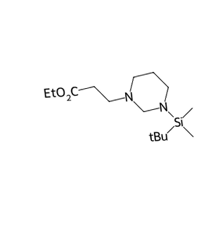 CCOC(=O)CCN1CCCN([Si](C)(C)C(C)(C)C)C1